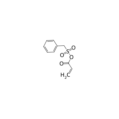 C=CC(=O)OS(=O)(=O)Cc1ccccc1